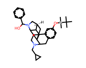 CC(C)(C)[Si](C)(C)Oc1ccc2c(c1)C13CCN(CC4CC4)C(C2)C12CCC1C3[C@@H](CN1C(O)c1ccccc1)C2